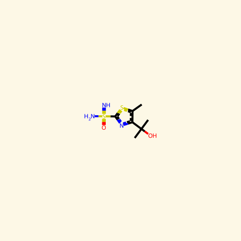 Cc1sc(S(=N)(N)=O)nc1C(C)(C)O